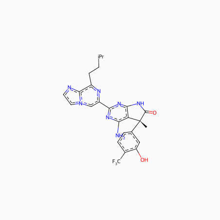 CC(C)CCc1nc(-c2nc(N)c3c(n2)NC(=O)[C@]3(C)c2ccc(C(F)(F)F)c(O)c2)cn2ccnc12